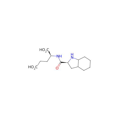 O=C(O)CC[C@H](NC(=O)[C@@H]1CC2CCCCC2N1)C(=O)O